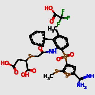 CSc1sc(C(=N)N)cc1S(=O)(=O)c1ccc(C)c(-c2ccccc2)c1NC(=O)CSC(CC(=O)O)C(=O)O.O=C(O)C(F)(F)F